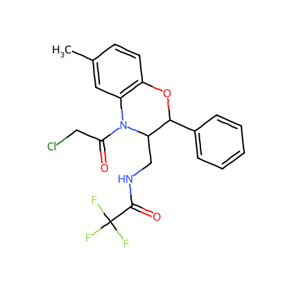 Cc1ccc2c(c1)N(C(=O)CCl)C(CNC(=O)C(F)(F)F)C(c1ccccc1)O2